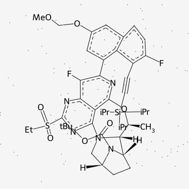 CCS(=O)(=O)c1nc2c3c(nc(-c4cc(OCOC)cc5ccc(F)c(C#C[Si](C(C)C)(C(C)C)C(C)C)c45)c(F)c3n1)O[C@@H](C)[C@@H]1[C@@H]3CC[C@H](CN21)N3C(=O)OC(C)(C)C